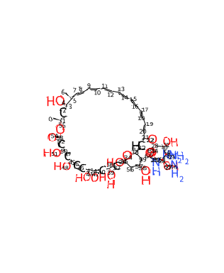 C[C@H]1C[C@H](O)[C@@H](C)/C=C/C=C/C=C/C=C/C=C/C=C/C=C/C(O[C@@H]2OC[C@@H](O)[C@H](N)[C@@H]2O)C[C@@H]2OC(O)(CC(O)CC(O)C(O)CCC(O)CC(O)CC(=O)O1)C[C@H](O)[C@H]2C(=O)N[C@@H](N)CN